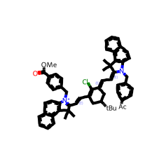 COC(=O)c1ccc(C[N+]2=C(/C=C/C3=C(Cl)C(=C/C=C4/N(Cc5ccc(C(C)=O)cc5)c5ccc6ccccc6c5C4(C)C)/CC(C(C)(C)C)C3)C(C)(C)c3c2ccc2ccccc32)cc1